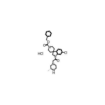 C[C@@H]1CN(CC(=O)N2CC3(CCN(C(=O)OCc4ccccc4)CC3)c3ccc(Cl)cc32)CCN1.Cl